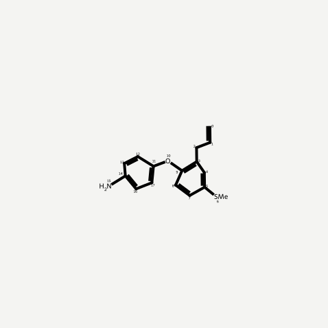 C=CCc1cc(SC)ccc1Oc1ccc(N)cc1